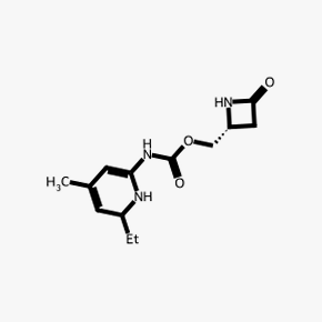 CCC1C=C(C)C=C(NC(=O)OC[C@H]2CC(=O)N2)N1